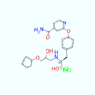 Cl.Cl.NC(=O)c1ccnc(Oc2ccc(C[C@@H](CO)NCC(O)COc3ccccc3)cc2)c1